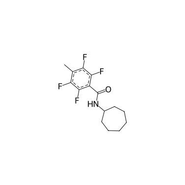 Cc1c(F)c(F)c(C(=O)NC2CCCCCC2)c(F)c1F